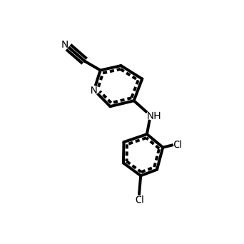 N#Cc1ccc(Nc2ccc(Cl)cc2Cl)cn1